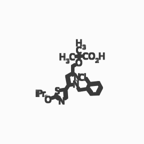 CC(C)Oc1ncc(-c2cc(COC(C)(C)C(=O)O)nn2Cc2ccccc2Cl)s1